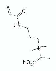 C=CC(=O)NCCC[N+](C)(C)C(C)C(=O)O